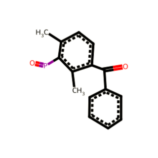 Cc1ccc(C(=O)c2ccccc2)c(C)c1P=O